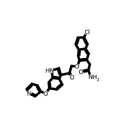 NC(=O)Cc1cc2cc(Cl)ccc2cc1OCC(=O)c1c[nH]c2cc(Oc3cccnc3)ccc12